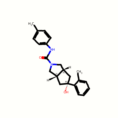 Cc1ccc(NC(=O)N2C[C@@H]3C[C@@](O)(c4ccccc4C)C[C@@H]3C2)cc1